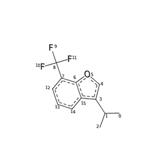 CC(C)c1coc2c(C(F)(F)F)cccc12